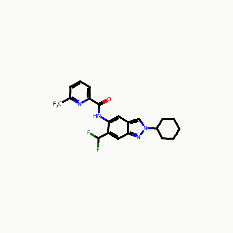 O=C(Nc1cc2cn(C3CCCCC3)nc2cc1C(F)F)c1cccc(C(F)(F)F)n1